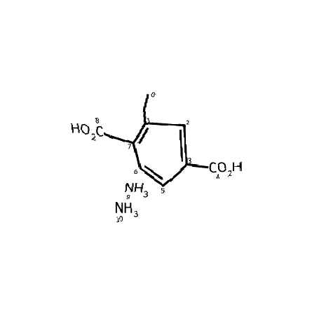 Cc1cc(C(=O)O)ccc1C(=O)O.N.N